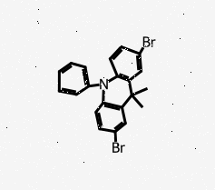 CC1(C)c2cc(Br)ccc2N(c2ccccc2)c2ccc(Br)cc21